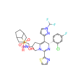 O=S(=O)(NC1CC2=C(c3ccn(C(F)F)n3)[C@H](c3ccc(F)cc3Cl)N=C(c3nccs3)N2C1)C1C2CCC1CC(O)(CO)C2